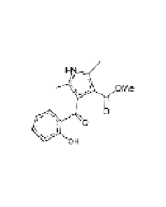 COC(=O)c1c(C)[nH]c(C)c1C(=O)c1ccccc1O